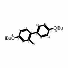 Cc1cc(OCC(C)C)ccc1-c1ccc(OCC(C)C)cc1